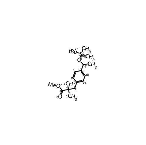 COC(=O)C(C)(C)Cc1ccc(C(C)O[Si](C)(C)C(C)(C)C)cc1